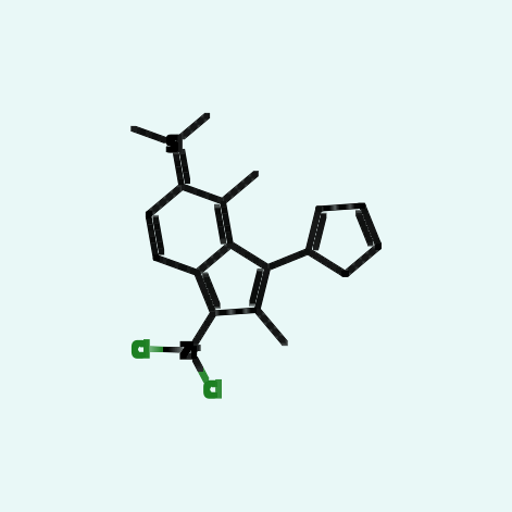 CC1=C(C2=CC=CC2)c2c(C)c(=[Si](C)C)ccc2=[C]1[Zr]([Cl])[Cl]